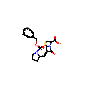 O=C(O)C1CS[C@@H]2C(=CC3CCCN3C(=O)OCc3ccccc3)C(=O)N12